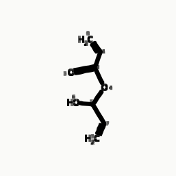 C=CC(=O)OC(O)C=C